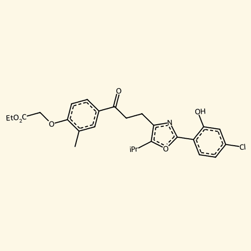 CCOC(=O)COc1ccc(C(=O)CCc2nc(-c3ccc(Cl)cc3O)oc2C(C)C)cc1C